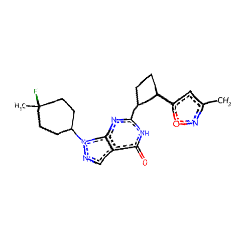 Cc1cc(C2CCC2c2nc3c(cnn3C3CCC(C)(F)CC3)c(=O)[nH]2)on1